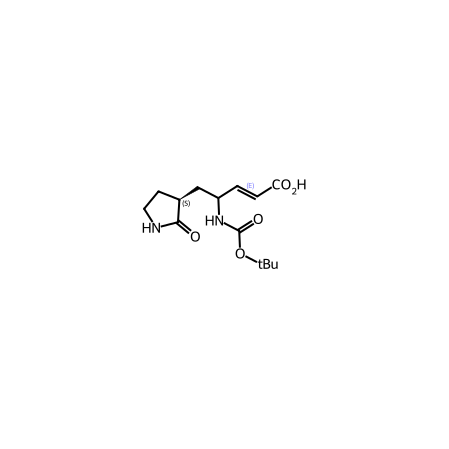 CC(C)(C)OC(=O)NC(/C=C/C(=O)O)C[C@@H]1CCNC1=O